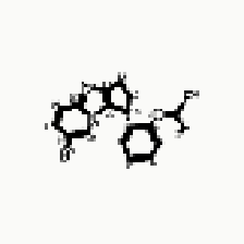 FC(F)Oc1ccccc1[C@H]1CCc2nc3ccc(Br)cn3c21